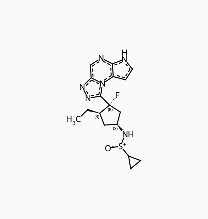 CC[C@@H]1C[C@H](N[S+]([O-])C2CC2)C[C@]1(F)c1nnc2cnc3[nH]ccc3n12